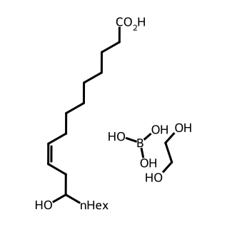 CCCCCCC(O)C/C=C\CCCCCCCC(=O)O.OB(O)O.OCCO